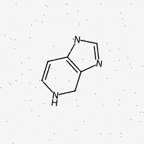 C1=CC2=C(CN1)N=C[N]2